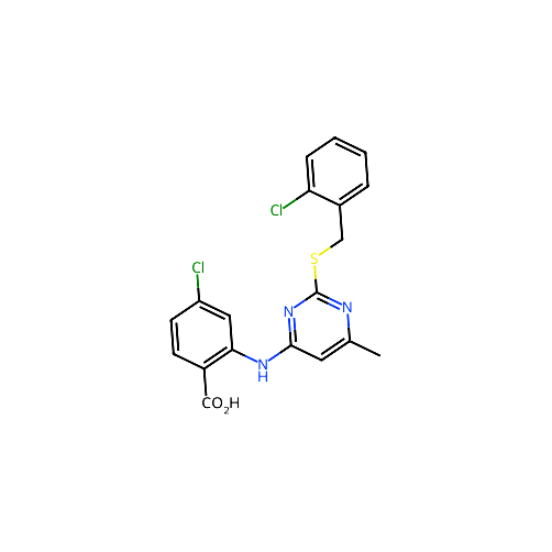 Cc1cc(Nc2cc(Cl)ccc2C(=O)O)nc(SCc2ccccc2Cl)n1